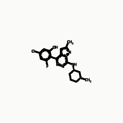 Cc1cc2c(-c3c(O)cc(Cl)cc3F)nnc(N[C@@H]3CCCN(C)C3)n2n1